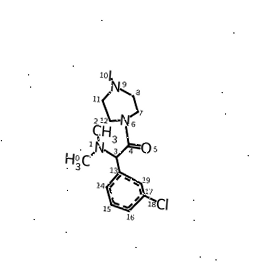 CN(C)C(C(=O)N1CCN(I)CC1)c1cccc(Cl)c1